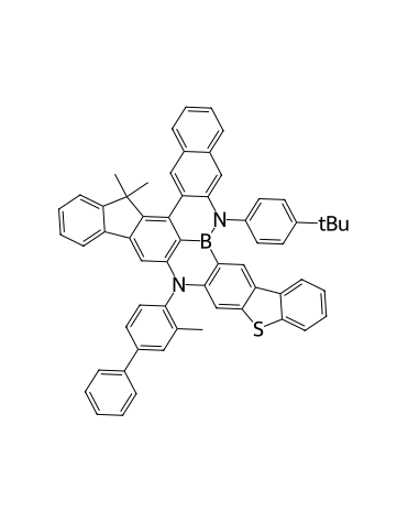 Cc1cc(-c2ccccc2)ccc1N1c2cc3sc4ccccc4c3cc2B2c3c1cc1c(c3-c3cc4ccccc4cc3N2c2ccc(C(C)(C)C)cc2)C(C)(C)c2ccccc2-1